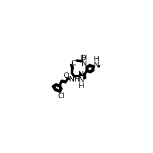 CNc1ccc2c(c1)NC(=O)CC/C=C/C[C@H](NC(=O)/C=C/c1cccc(Cl)c1)c1nc-2c[nH]1